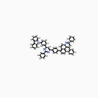 c1ccc(-c2cc(-c3ccccc3)c3c(ccc4c(-c5ccc(-c6cc(-c7cccc(-n8c9ccccc9c9ccccc98)c7)nc(-c7ccccc7)n6)cc5)cccc43)n2)cc1